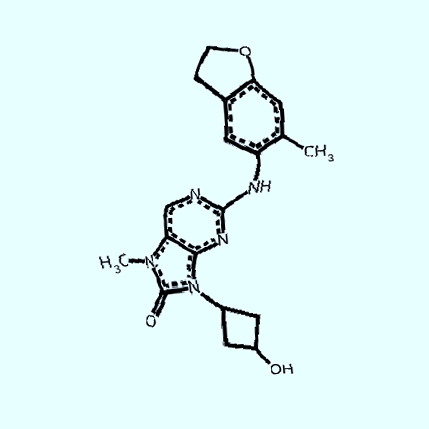 Cc1cc2c(cc1Nc1ncc3c(n1)n(C1CC(O)C1)c(=O)n3C)CCO2